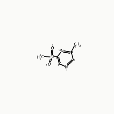 Cc1[c]ncc(S(C)(=O)=O)n1